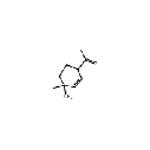 C=C(C)C1C=CC(C)(C(F)(F)F)CC1